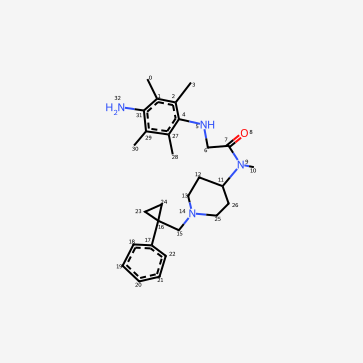 Cc1c(C)c(NCC(=O)N(C)C2CCN(CC3(c4ccccc4)CC3)CC2)c(C)c(C)c1N